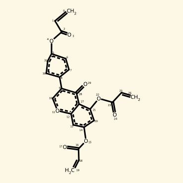 C=CC(=O)Oc1ccc(-c2coc3cc(OC(=O)C=C)cc(OC(=O)C=C)c3c2=O)cc1